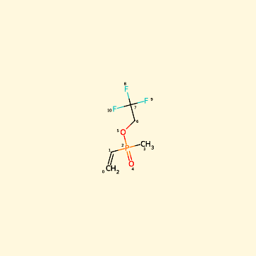 C=CP(C)(=O)OCC(F)(F)F